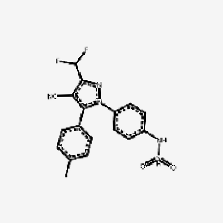 Cc1ccc(-c2c(C#N)c(C(F)F)nn2-c2ccc(N[SH](=O)=O)cc2)cc1